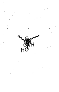 CCCCCCCn1nc(NCCO)c(=O)n(CCCCCCC)c1=O